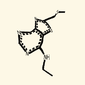 CCNc1ncnc2nc(SC)sc12